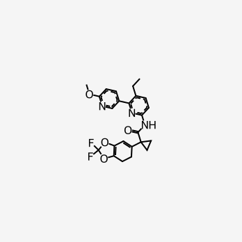 CCc1ccc(NC(=O)C2(C3=CC4=C(CC3)OC(F)(F)O4)CC2)nc1-c1ccc(OC)nc1